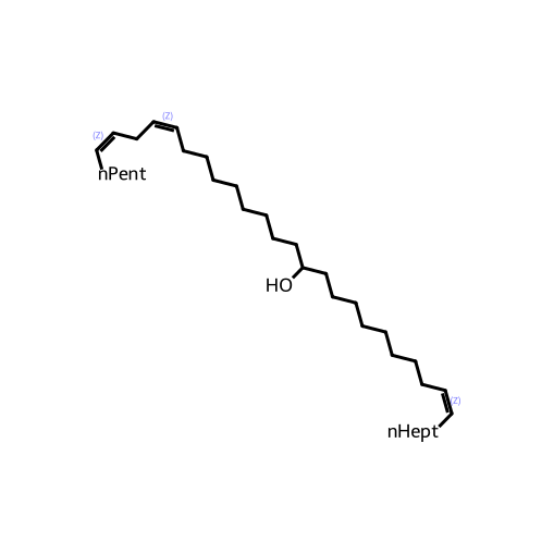 CCCCC/C=C\C/C=C\CCCCCCCCC(O)CCCCCCCC/C=C\CCCCCCC